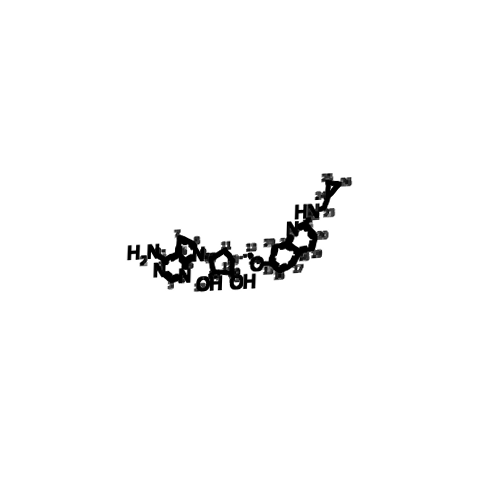 Nc1ncnc2c1ccn2[C@@H]1C[C@H](COc2ccc3ccc(NCC4CC4)nc3c2)[C@@H](O)[C@H]1O